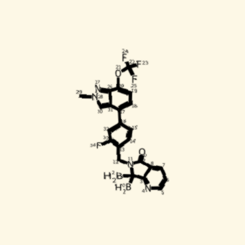 BC1(B)c2ncccc2C(=O)N1Cc1ccc(-c2ccc(OC(F)(F)F)c3nn(C)cc23)cc1F